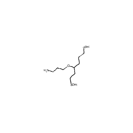 CCCCCCCCCCCCCC(CCCCCCCCCCCC)OCCCN